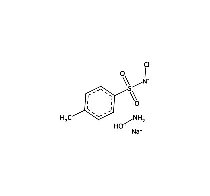 Cc1ccc(S(=O)(=O)[N-]Cl)cc1.NO.[Na+]